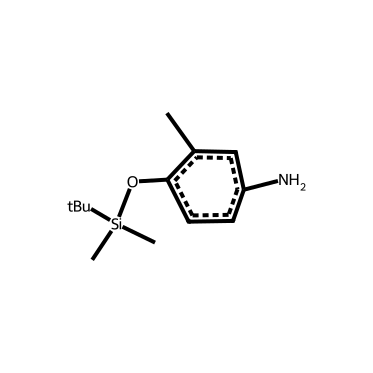 Cc1cc(N)ccc1O[Si](C)(C)C(C)(C)C